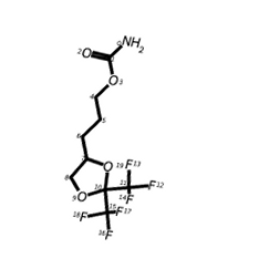 NC(=O)OCCCC1COC(C(F)(F)F)(C(F)(F)F)O1